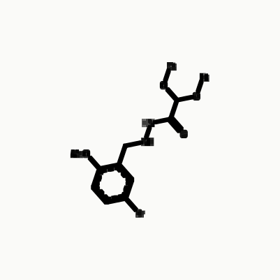 CCOC(OCC)C(=O)NNCc1cc(Br)ccc1OC